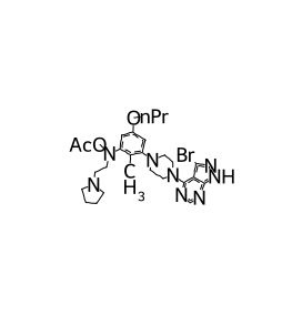 CCCOc1cc(N2CCN(c3ncnc4[nH]nc(Br)c34)CC2)c(C)c(N(CCN2CCCC2)OC(C)=O)c1